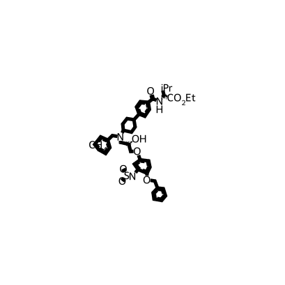 C.CCOC(=O)[C@@H](NC(=O)c1ccc(C2CCC(N(Cc3ccccc3)C[C@H](O)COc3ccc(OCc4ccccc4)c(N=S(=O)=O)c3)CC2)cc1)C(C)C